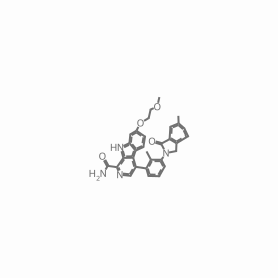 COCCOc1ccc2c(c1)[nH]c1c(C(N)=O)ncc(-c3cccc(N4Cc5ccc(C)cc5C4=O)c3C)c12